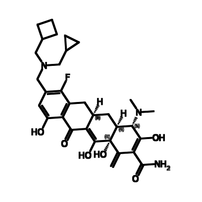 C=C1C(C(N)=O)=C(O)[C@@H](N(C)C)[C@@H]2C[C@@H]3Cc4c(F)c(CN(CC5CCC5)CC5CC5)cc(O)c4C(=O)C3=C(O)[C@]12O